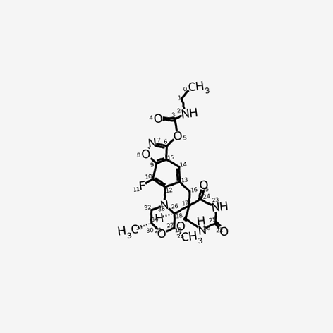 CCNC(=O)Oc1noc2c(F)c3c(cc12)CC1(C(=O)NC(=O)NC1=O)[C@H]1[C@H](C)O[C@H](C)CN31